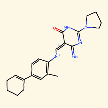 Cc1cc(C2=CCCCC2)ccc1N/C=C1\C(=N)N=C(N2CCCC2)NC1=O